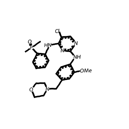 COc1cc(CN2CCOCC2)ccc1Nc1ncc(Cl)c(Nc2ccccc2P(C)(C)=O)n1